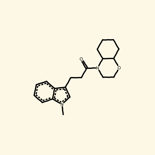 Cn1cc(CCC(=O)N2CCOC3CCCCC32)c2ccccc21